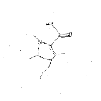 CCN1C(C)=C(C(=O)O)N(C)C1C